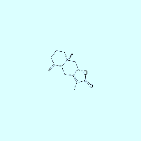 C=C1CCC[C@]2(C)CC3OC(=O)C(C)=C3CC12